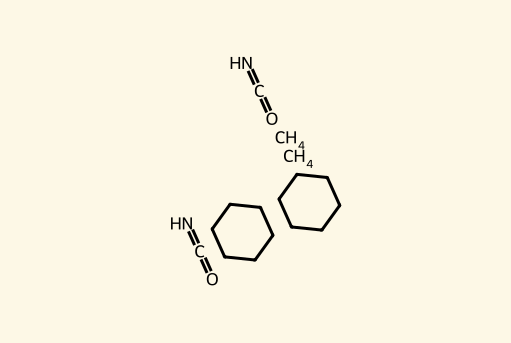 C.C.C1CCCCC1.C1CCCCC1.N=C=O.N=C=O